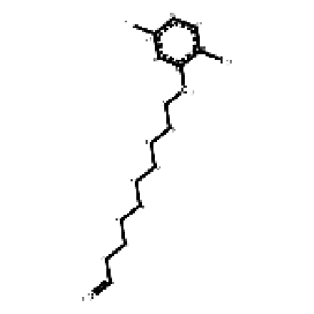 O=CCCCCCCCCCOc1cc(I)ccc1I